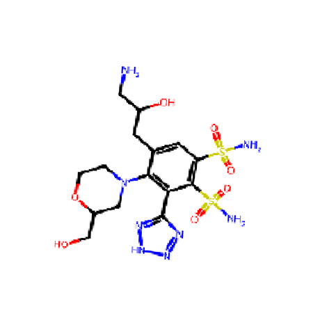 NCC(O)Cc1cc(S(N)(=O)=O)c(S(N)(=O)=O)c(-c2nn[nH]n2)c1N1CCOC(CO)C1